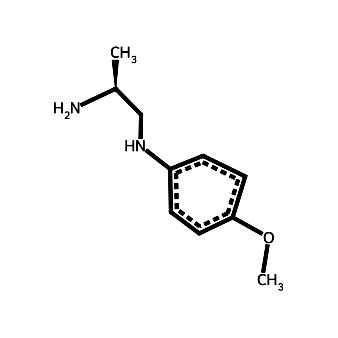 COc1ccc(NC[C@H](C)N)cc1